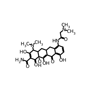 CN(C)CC(=O)Nc1ccc(O)c2c1CC1CC3C(N(C)C)C(O)=C(C(N)=O)C(=O)[C@@]3(O)C(O)=C1C2=O